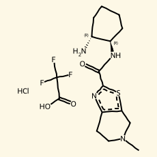 CN1CCc2nc(C(=O)N[C@@H]3CCCC[C@H]3N)sc2C1.Cl.O=C(O)C(F)(F)F